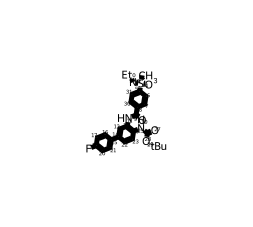 CCN=S(C)(=O)c1ccc(C(=O)Nc2cc(-c3ccc(F)cc3)ccc2NC(=O)OC(C)(C)C)cc1